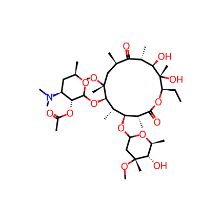 CC[C@H]1OC(=O)[C@H](C)[C@@H](OC2C[C@@](C)(OC)[C@@H](O)[C@H](C)O2)[C@H](C)[C@@H](OC2O[C@H](C)C[C@H](N(C)C)[C@H]2OC(C)=O)[C@](C)(OC)C[C@@H](C)C(=O)[C@H](C)[C@@H](O)[C@]1(C)O